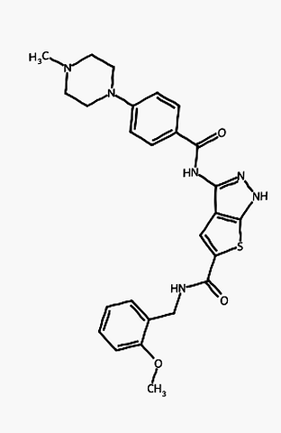 COc1ccccc1CNC(=O)c1cc2c(NC(=O)c3ccc(N4CCN(C)CC4)cc3)n[nH]c2s1